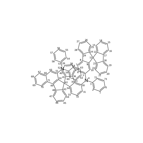 c1ccc(N(c2ccc3c(c2)C2(c4ccccc4-c4ccccc42)c2ccccc2-3)c2cccc3c2-c2ccccc2C32c3ccccc3-c3c2c(N(c2ccccc2)c2ccccc2)cc2ccccc32)cc1